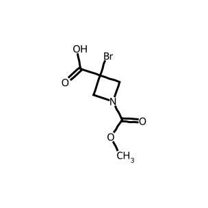 COC(=O)N1CC(Br)(C(=O)O)C1